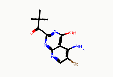 CC(C)(C)C(=O)c1nc(O)c2c(N)c(Br)cnc2n1